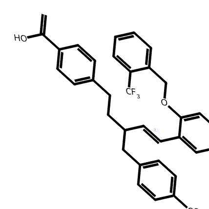 C=C(O)c1ccc(CCC(/C=C/c2ccccc2OCc2ccccc2C(F)(F)F)Cc2ccc(C(=O)O)cc2)cc1